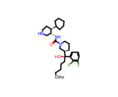 COCCCC[C@@](O)(c1cccc(F)c1F)[C@@H]1CCCN(C(=O)N[C@@H]2CNCC[C@H]2C2CCCCC2)C1